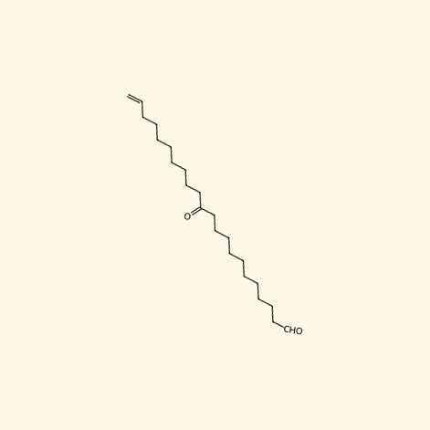 C=CCCCCCCCCC(=O)CCCCCCCCCCC=O